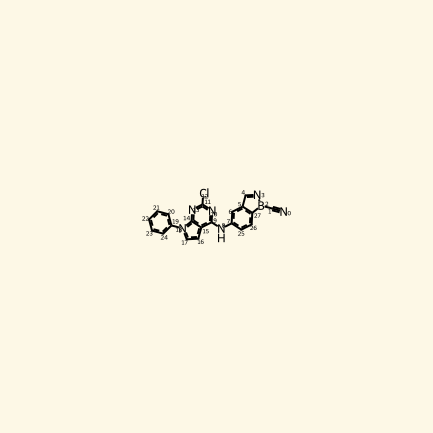 N#CB1N=Cc2cc(Nc3nc(Cl)nc4c3ccn4-c3ccccc3)ccc21